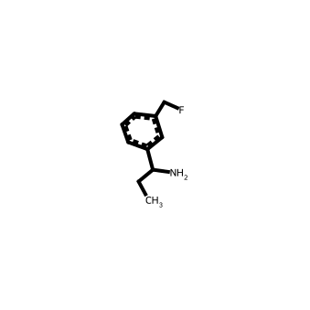 CCC(N)c1cccc(CF)c1